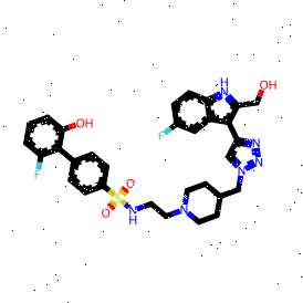 O=S(=O)(NCCN1CCC(Cn2cc(-c3c(CO)[nH]c4ccc(F)cc34)nn2)CC1)c1ccc(-c2c(O)cccc2F)cc1